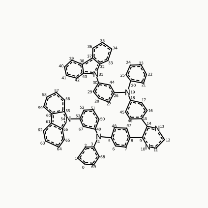 c1ccc(N(c2ccc(-c3nccnc3-c3ccc(N(c4ccccc4)c4cccc(-n5c6ccccc6c6ccccc65)c4)cc3)cc2)c2cccc(-n3c4ccccc4c4ccccc43)c2)cc1